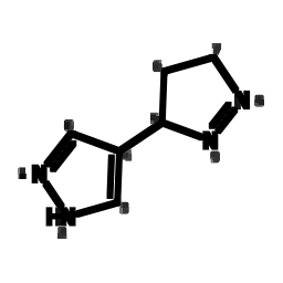 c1n[nH]cc1C1CCN=N1